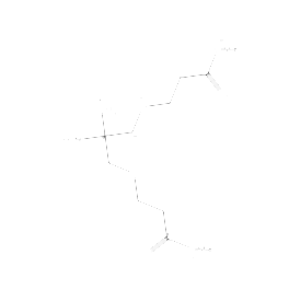 COC(=O)CCOCC(C)(N)COCCC(=O)OC